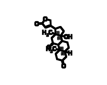 C[C@]12CCC(=O)C[C@H]1CCC1C2C(=O)C[C@]2(C)C(C3=CC(=O)OC3)CC[C@]12O